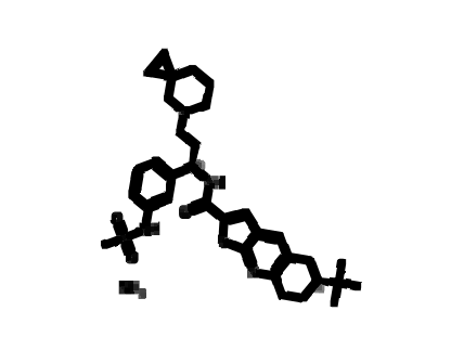 CC(C)(C)[C@H]1CCc2nc3sc(C(=O)N[C@H](CCN4CCCC5(CC5)C4)c4cccc(NS(C)(=O)=O)c4)cc3cc2C1.N